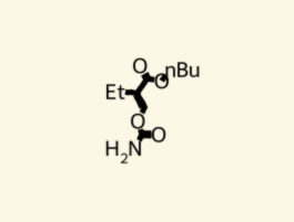 CCCCOC(=O)C(=COC(N)=O)CC